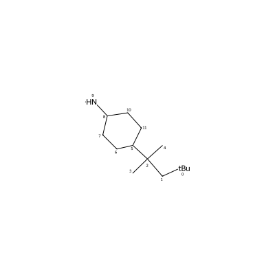 CC(C)(C)CC(C)(C)C1CCC([NH])CC1